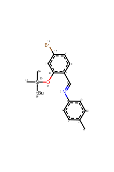 Cc1ccc(/N=C/c2ccc(Br)cc2O[Si](C)(C)C(C)(C)C)cc1